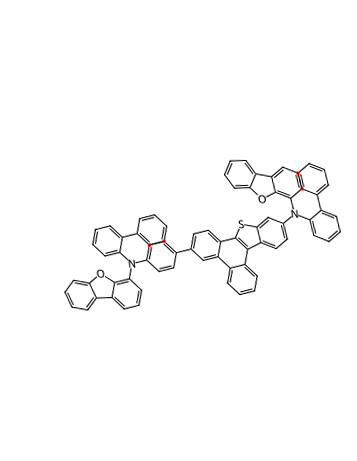 c1ccc(-c2ccccc2N(c2ccc(-c3ccc4c(c3)c3ccccc3c3c5ccc(N(c6ccccc6-c6ccccc6)c6cccc7c6oc6ccccc67)cc5sc43)cc2)c2cccc3c2oc2ccccc23)cc1